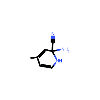 CC1=CC(N)(C#N)NC=C1